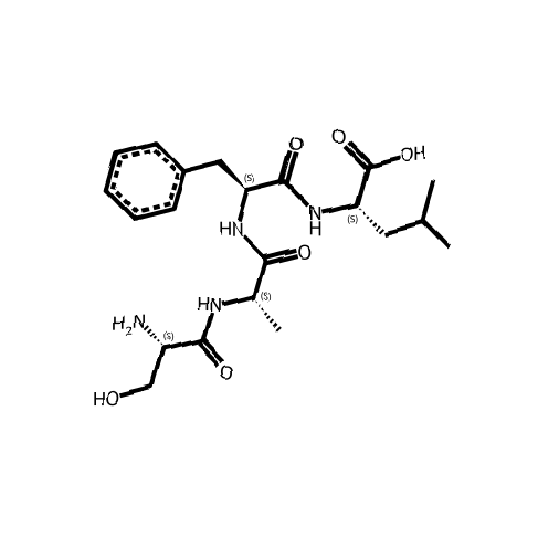 CC(C)C[C@H](NC(=O)[C@H](Cc1ccccc1)NC(=O)[C@H](C)NC(=O)[C@@H](N)CO)C(=O)O